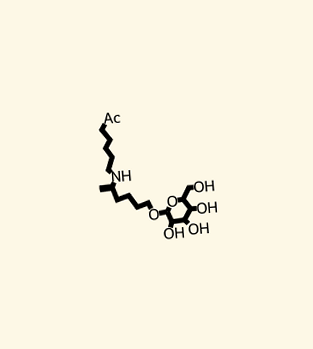 C=C(CCCCOC1OC(CO)C(O)C(O)C1O)NCCCCCC(C)=O